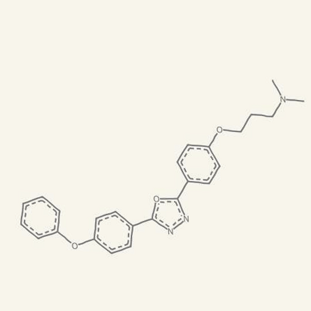 CN(C)CCCOc1ccc(-c2nnc(-c3ccc(Oc4ccccc4)cc3)o2)cc1